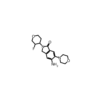 Nc1cc2c(cc1N1CCOCC1)C(=O)N(C1CCOCC1F)C2